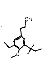 CCc1cc(CCO)cc(C(C)(C)CC)c1OC